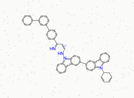 N=C(/C=C\Nn1c2ccccc2c2cc(-c3ccc4c(c3)c3ccccc3n4C3C=CC=CC3)ccc21)c1ccc(-c2cccc(-c3ccccc3)c2)cc1